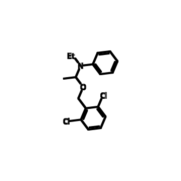 CCN(c1ccccc1)C(C)OCc1c(Cl)cccc1Cl